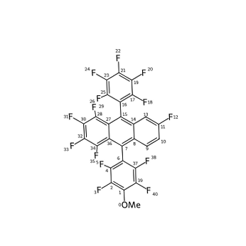 COc1c(F)c(F)c(-c2c3ccc(F)cc3c(-c3c(F)c(F)c(F)c(F)c3F)c3c(F)c(F)c(F)c(F)c23)c(F)c1F